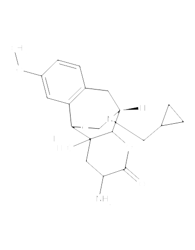 COc1ccc2c(c1)[C@H]1CCN(CC3CC3)[C@H](C2)C2OC(=O)C(N)CC21C